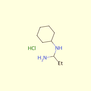 CCC(N)NC1CCCCC1.Cl